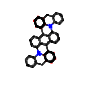 c1ccc(-c2c3cccc(N4c5ccccc5Cc5ccccc54)c3c(-c3ccccc3)c3cccc(N4c5ccccc5Cc5ccccc54)c23)cc1